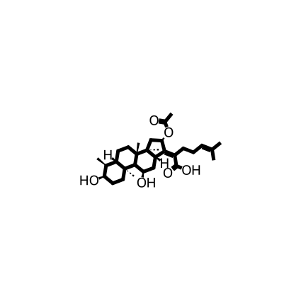 CC(=O)O[C@H]1C[C@@]2(C)[C@@H](C[C@@H](O)C3[C@]2(C)CC[C@H]2[C@H](C)[C@H](O)CC[C@]32C)/C1=C(/CCC=C(C)C)C(=O)O